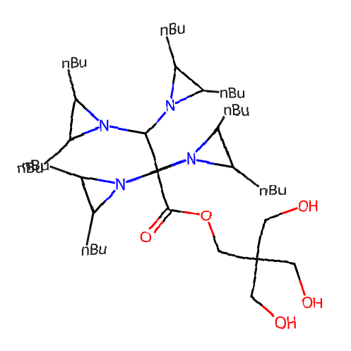 CCCCC1C(CCCC)N1C(N1C(CCCC)C1CCCC)C(C(=O)OCC(CO)(CO)CO)(N1C(CCCC)C1CCCC)N1C(CCCC)C1CCCC